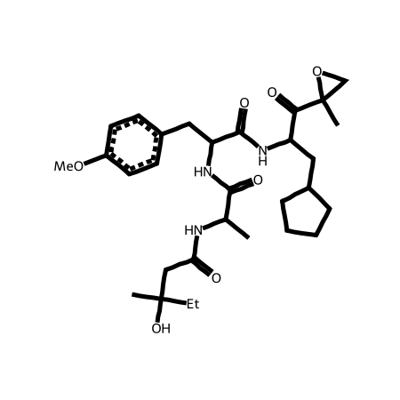 CCC(C)(O)CC(=O)NC(C)C(=O)NC(Cc1ccc(OC)cc1)C(=O)NC(CC1CCCC1)C(=O)C1(C)CO1